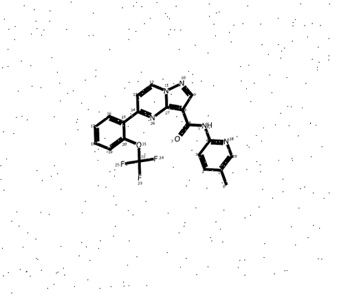 Cc1ccc(NC(=O)c2cnn3ccc(-c4ccccc4OC(F)(F)F)nc23)nc1